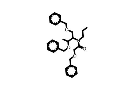 CCCN(C(=O)COCc1ccccc1)C(COCc1ccccc1)C(C)OCc1ccccc1